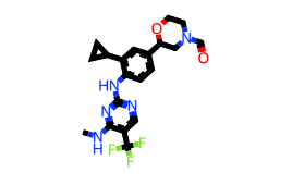 CNc1nc(Nc2ccc(C3CN(C=O)CCO3)cc2C2CC2)ncc1C(F)(F)F